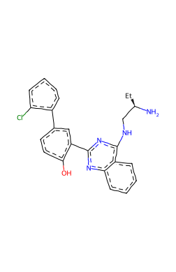 CC[C@@H](N)CNc1nc(-c2cc(-c3ccccc3Cl)ccc2O)nc2ccccc12